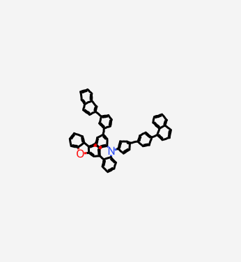 c1cc(-c2cccc(N(c3ccc(-c4ccc(-c5cccc6ccccc56)cc4)cc3)c3ccccc3-c3ccc4c(c3)oc3ccccc34)c2)cc(-c2ccc3ccccc3c2)c1